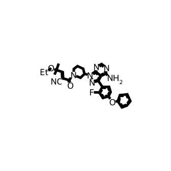 CCOC(C)(C)C=C(C#N)C(=O)N1CCCC(n2nc(-c3ccc(Oc4ccccc4)cc3F)c3c(N)ncnc32)C1